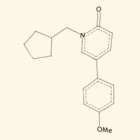 COc1ccc(-c2ccc(=O)n(CC3CCCC3)c2)cc1